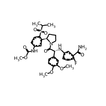 COC(=O)Nc1ccc(S(=O)(=O)C(C)C)c([C@H]2CCCN2C(=O)[C@H](Nc2ccc(F)c(C(N)=O)c2)c2ccc(OC)c(OC)c2)c1